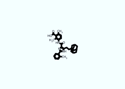 Cc1ccccc1-c1nc(C(=O)Nc2ccc(C)c(C(=O)O)c2C)c(CCC23CC4CC(CC(C4)C2)C3)[nH]1